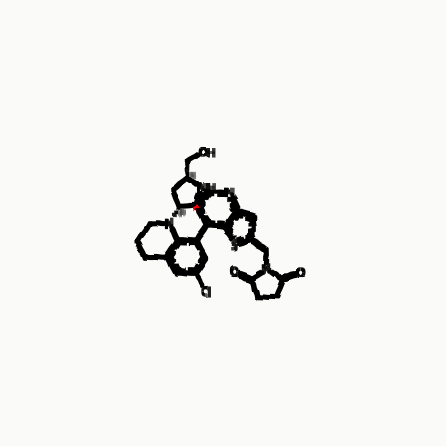 O=C1CCC(=O)N1Cc1cc2nccc(-c3cc(Cl)cc4c3N([C@H]3CN[C@H](CO)C3)CCC4)c2s1